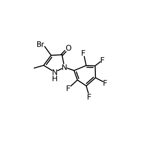 Cc1[nH]n(-c2c(F)c(F)c(F)c(F)c2F)c(=O)c1Br